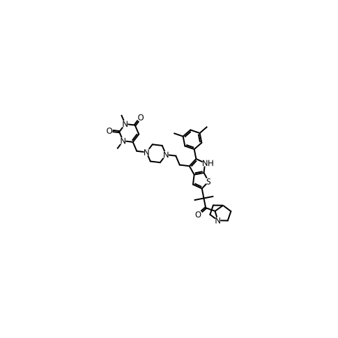 Cc1cc(C)cc(-c2[nH]c3sc(C(C)(C)C(=O)C4C5CCN4CC5)cc3c2CCN2CCN(Cc3cc(=O)n(C)c(=O)n3C)CC2)c1